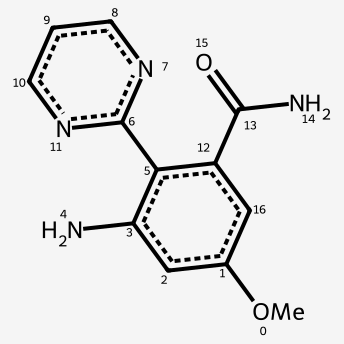 COc1cc(N)c(-c2ncccn2)c(C(N)=O)c1